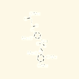 COC(=O)CCC(=O)Oc1ccc(NS(=O)(=O)/C=C/c2c(OC)cc(OC)cc2OC)cc1OC